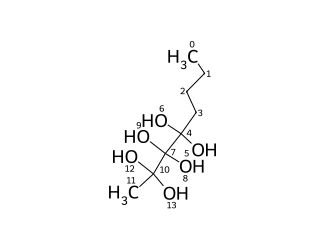 CCCCC(O)(O)C(O)(O)C(C)(O)O